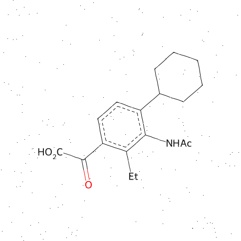 CCc1c(C(=O)C(=O)O)ccc(C2CCCCC2)c1NC(C)=O